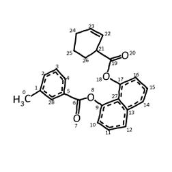 Cc1cccc(C(=O)Oc2cccc3cccc(OC(=O)C4C=CCCC4)c23)c1